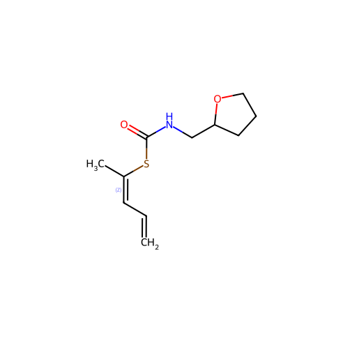 C=C/C=C(/C)SC(=O)NCC1CCCO1